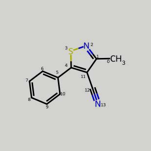 Cc1nsc(-c2ccccc2)c1C#N